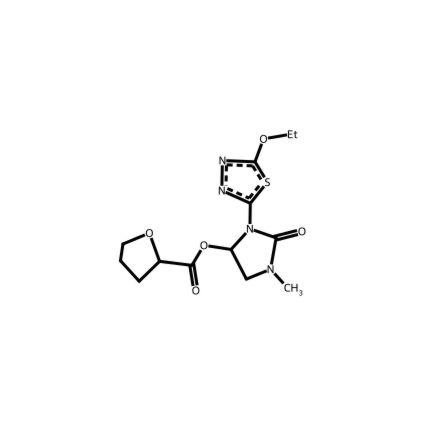 CCOc1nnc(N2C(=O)N(C)CC2OC(=O)C2CCCO2)s1